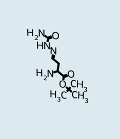 CC(C)(C)OC(=O)C(N)CC=NNC(N)=O